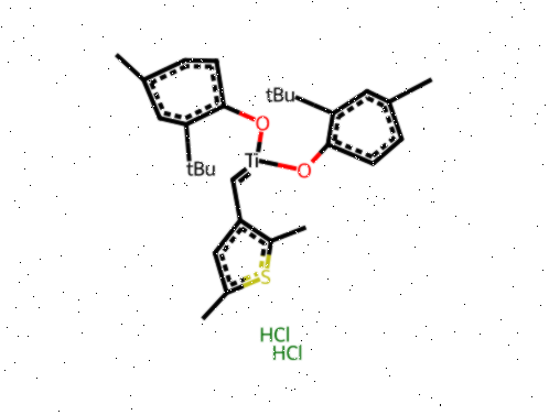 Cc1ccc([O][Ti](=[CH]c2cc(C)sc2C)[O]c2ccc(C)cc2C(C)(C)C)c(C(C)(C)C)c1.Cl.Cl